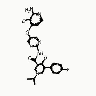 CC(C)n1cc(C(=O)Nc2ncc(Oc3ccnc(N)c3Cl)cn2)c(=O)c(-c2ccc(F)cc2)c1